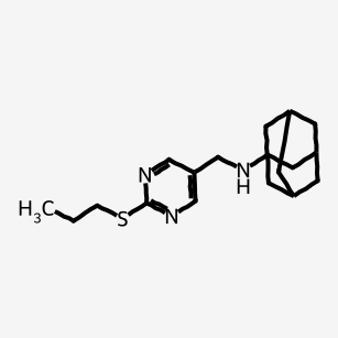 CCCSc1ncc(CNC23CC4CC(CC(C4)C2)C3)cn1